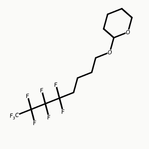 FC(F)(F)C(F)(F)C(F)(F)C(F)(F)CCCCOC1CCCCO1